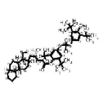 C[C@H](CCC(=O)Oc1c(C(C)(C)C)cc(SC(C)(C)Sc2cc(C(C)(C)C)c(O)c(C(C)(C)C)c2)cc1C(C)(C)C)[C@H]1CC[C@H]2[C@@H]3CC[C@@H]4CCCC[C@]4(C)[C@H]3CC[C@]12C